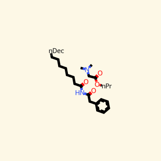 CCCCCCCCCCCCCCCCCC(=O)NC(=O)Cc1ccccc1.CCCOC(=O)CN(C)C